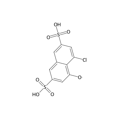 [O]c1cc(S(=O)(=O)O)cc2cc(S(=O)(=O)O)cc(Cl)c12